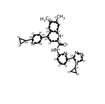 Cc1cc2nc(C(=O)Nc3cccc(-c4nncn4C4CC4)n3)cc(-c3ccc(C4CC4)nc3)c2cc1C